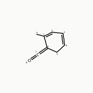 [CH2]C1=CC=CCC1=C=O